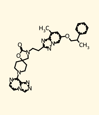 Cc1cc(OCC(C)c2ccccc2)cn2nc(CCN3CC4(CCN(c5nccn6cnnc56)CC4)OC3=O)nc12